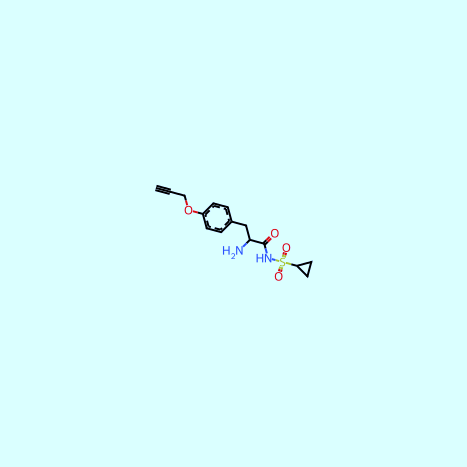 C#CCOc1ccc(CC(N)C(=O)NS(=O)(=O)C2CC2)cc1